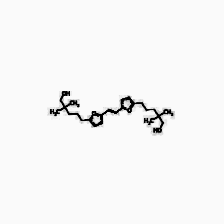 CC(C)(CO)CCCc1ccc(C=Cc2ccc(CCCC(C)(C)CO)o2)o1